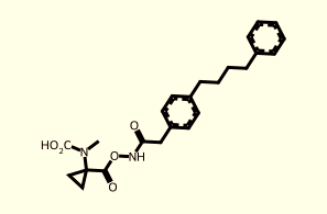 CN(C(=O)O)C1(C(=O)ONC(=O)Cc2ccc(CCCCc3ccccc3)cc2)CC1